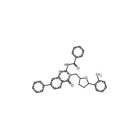 Cc1ccccc1C1CCC(Cn2c(NC(=O)c3ccccc3)nc3cc(-c4ccccc4)ccc3c2=O)O1